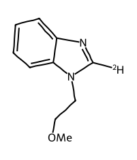 [2H]c1nc2ccccc2n1CCOC